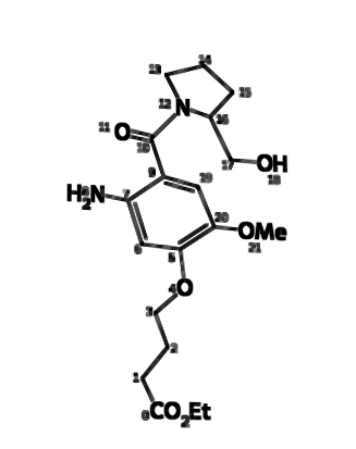 CCOC(=O)CCCOc1cc(N)c(C(=O)N2CCCC2CO)cc1OC